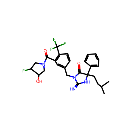 CC(C)CCC1(c2ccccc2)NC(=N)N(Cc2ccc(C(F)(F)F)c(C(=O)N3CC(O)C(F)C3)c2)C1=O